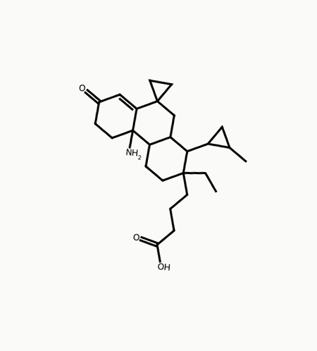 CCC1(CCCC(=O)O)CCC2C(CC3(CC3)C3=CC(=O)CCC32N)C1C1CC1C